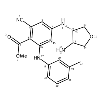 COC(=O)c1c(C#N)cc(N[C@@H]2COCC2N)nc1Nc1cccc(C)c1